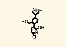 OCc1cc(-c2cn[nH]c2)ccc1-c1ccc(Cl)nc1O